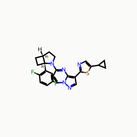 Fc1ccc(F)c([C@@]23CC[C@@H]2CCN3c2ccn3ncc(-c4ncc(C5CC5)s4)c3n2)c1